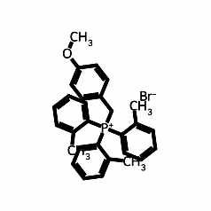 COc1ccc(C[P+](c2ccccc2C)(c2ccccc2C)c2ccccc2C)cc1.[Br-]